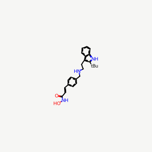 CC(C)(C)c1[nH]c2ccccc2c1CCNCc1ccc(/C=C/C(=O)NO)cc1